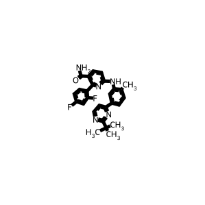 Cc1ccc(-c2ccnc(C(C)(C)C)n2)cc1Nc1ccc(C(N)=O)c(-c2ccc(F)cc2F)n1